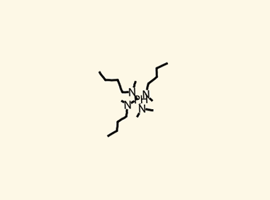 CCCCN(C)[PH](N(C)C)(N(C)CCCC)N(C)CCCC